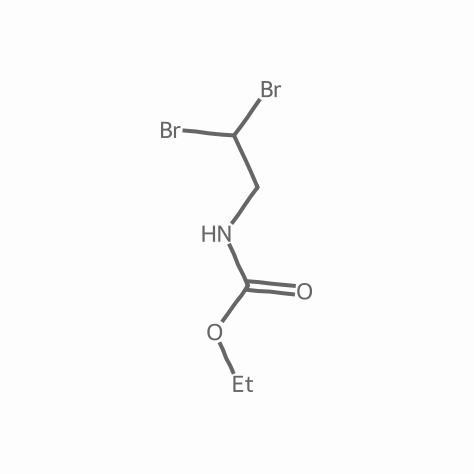 CCOC(=O)NCC(Br)Br